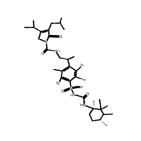 [2H]c1c([2H])c(S(=O)(=O)NC(=O)N[C@]2(C)CC[C@@H](C)C(C)C2(C)C)c([2H])c(C)c1C(C)CNC(=O)N1CC(C(C)C)=C(CC(C)C)C1=O